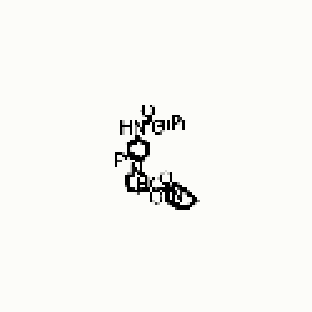 CCCOC(=O)Nc1ccc(N2CCCC(OC(=O)N3C4CCC3CC(O)C4)C2)c(F)c1